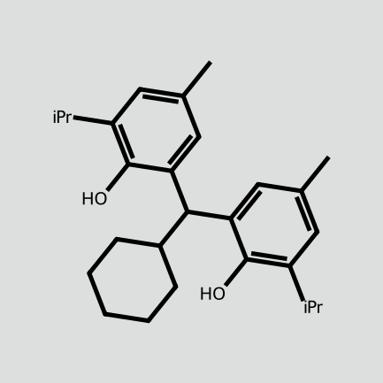 Cc1cc(C(C)C)c(O)c(C(c2cc(C)cc(C(C)C)c2O)C2CCCCC2)c1